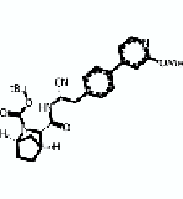 COc1cc(-c2ccc(C[C@@H](C#N)NC(=O)[C@@H]3[C@H]4CC[C@H](C4)N3C(=O)OC(C)(C)C)cc2)ccn1